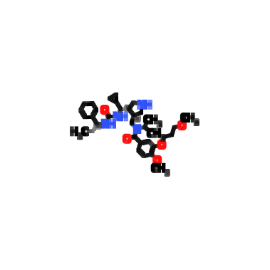 CC[C@@H](NC(=O)NC(C1CC1)[C@@H]1CNC[C@H]1CN(C(=O)c1ccc(OC)c(OCCCOC)c1)C(C)C)c1ccccc1